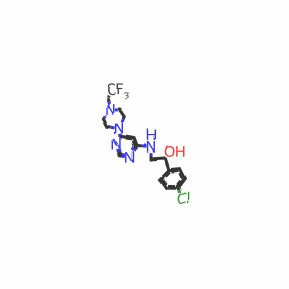 OC(CNc1cc(N2CCN(CC(F)(F)F)CC2)ncn1)c1ccc(Cl)cc1